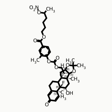 Cc1cc(C(=O)OCCCCC(C)O[N+](=O)[O-])ccc1OC(=O)OCC(=O)[C@@]12OC(C)(C)O[C@@H]1CC1C3CCC4=CC(=O)C=C[C@]4(C)[C@@]3(F)[C@@H](O)C[C@@]12C